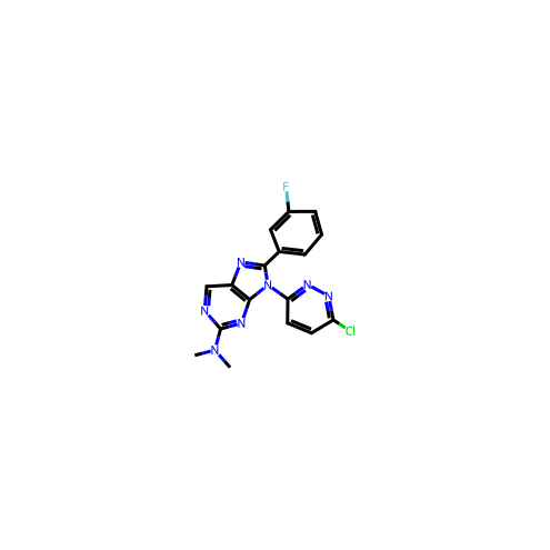 CN(C)c1ncc2nc(-c3cccc(F)c3)n(-c3ccc(Cl)nn3)c2n1